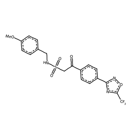 COc1ccc(CNS(=O)(=O)CC(=O)c2ccc(-c3noc(C(F)(F)F)n3)cc2)cc1